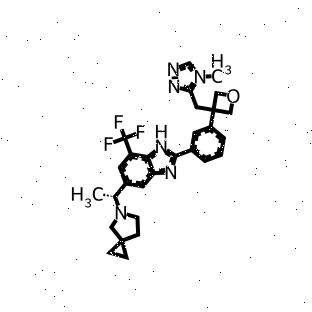 C[C@H](c1cc(C(F)(F)F)c2[nH]c(-c3cccc(C4(Cc5nncn5C)COC4)c3)nc2c1)N1CCC2(CC2)C1